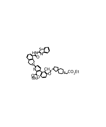 CCOC(=O)CN1CCC2(CC[C@@H](COc3cccc(-c4ccc(N5CCc6cccc(C(=O)Nc7nc8ccccc8s7)c6C5)nc4C(=O)OC(C)(C)C)c3C)C2)CC1